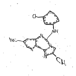 Cc1cn2c(Nc3cccc(Cl)c3)nc3cc(C#N)cnc3c2n1